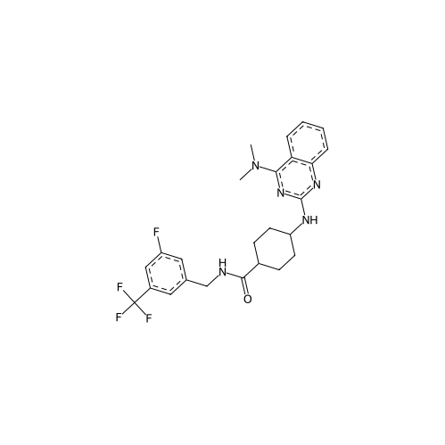 CN(C)c1nc(NC2CCC(C(=O)NCc3cc(F)cc(C(F)(F)F)c3)CC2)nc2ccccc12